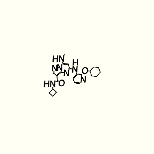 CNc1cc(Nc2cccnc2OC2CCCCC2)nc2c(C(=O)NC3CCC3)cnn12